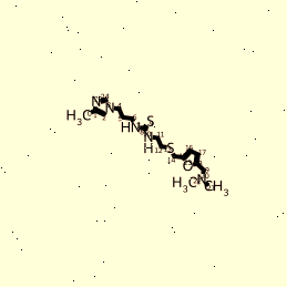 Cc1cn(CCCNC(=S)NCCSCc2ccc(CN(C)C)o2)cn1